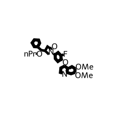 CCCOC(c1ccccc1)C1CC(=O)N(c2ccc(Oc3ccnc4cc(OC)c(OC)cc34)c(F)c2)C1